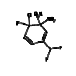 O=[N+]([O-])C1([N+](=O)[O-])C=C(C(F)F)C=CC1(F)Cl